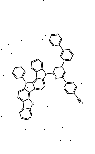 N#Cc1ccc(-c2nc(-c3cccc(-c4ccccc4)c3)cc(-n3c4ccccc4c4c3ccc3c5c6oc7ccccc7c6ccc5n(-c5ccccc5)c34)n2)cc1